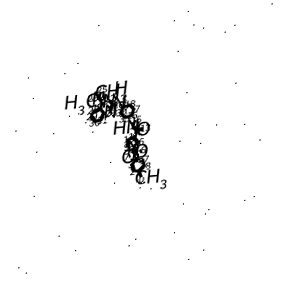 Cc1ccc(S(=O)(=O)n2ccc(C(=O)NC[C@H]3CC[C@@H](Nc4nc(N(C)C)c5ccccc5n4)CC3)c2)cc1